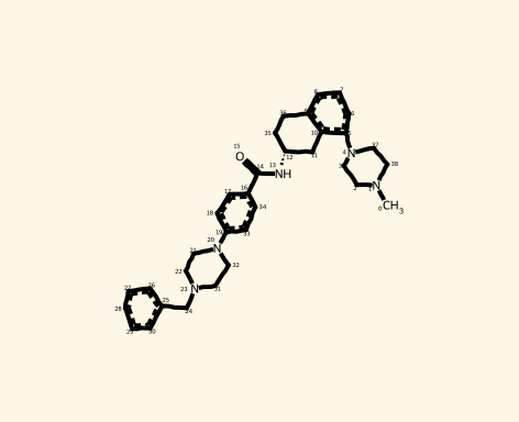 CN1CCN(c2cccc3c2C[C@H](NC(=O)c2ccc(N4CCN(Cc5ccccc5)CC4)cc2)CC3)CC1